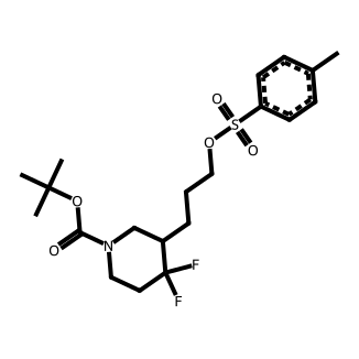 Cc1ccc(S(=O)(=O)OCCCC2CN(C(=O)OC(C)(C)C)CCC2(F)F)cc1